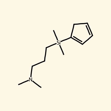 CN(C)CCC[Si](C)(C)C1=CC=CC1